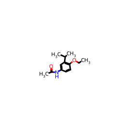 CCOc1ccc(NC(C)=O)cc1C(C)C